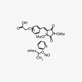 CCC(=O)O.CCCCCCC(C)ON=O.CON1C(=O)C(=Cc2ccccc2)N(OC)C1=O.c1ccncc1